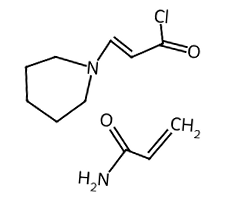 C=CC(N)=O.O=C(Cl)C=CN1CCCCC1